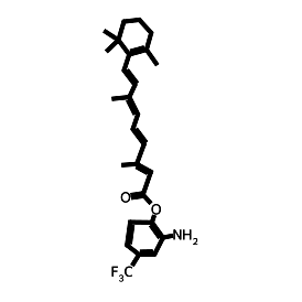 CC1=C(/C=C/C(C)=C/C=C/C(C)=C/C(=O)Oc2ccc(C(F)(F)F)cc2N)C(C)(C)CCC1